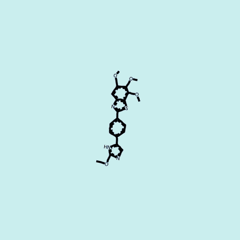 COc1ncc(-c2ccc(-c3nc4cc(OC)c(OC)c(OC)c4s3)cc2)[nH]1